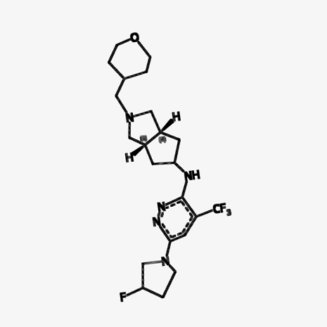 FC1CCN(c2cc(C(F)(F)F)c(NC3C[C@@H]4CN(CC5CCOCC5)C[C@@H]4C3)nn2)C1